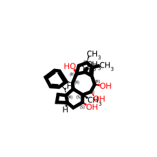 CC1=C2[C@@H](O)[C@H](O)[C@@]3(C)C([C@H](c4ccccc4)[C@](O)(C[C@@H]1C)C2(C)C)[C@]1(C)CC[C@@H]1C[C@@H]3O